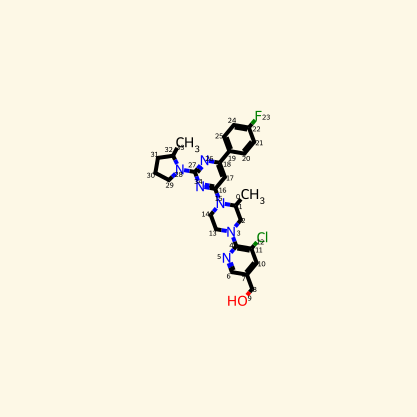 CC1CN(c2ncc(CO)cc2Cl)CCN1c1cc(-c2ccc(F)cc2)nc(N2CCCC2C)n1